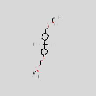 C=CC(=O)OCCOc1ccc(C(C)(C)c2ccc(CCOC(=O)C=C)cc2)cc1